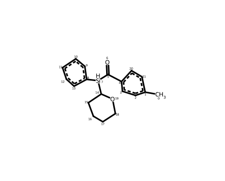 Cc1ccc(C(=O)[SiH](c2ccccc2)C2CCCCO2)cc1